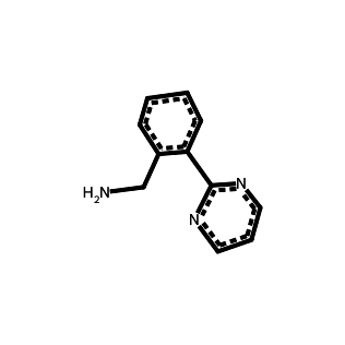 NCc1ccccc1-c1ncccn1